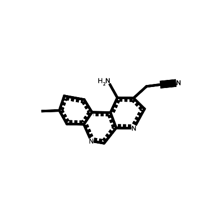 Cc1ccc2c(c1)ncc1ncc(CC#N)c(N)c12